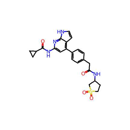 O=C(Cc1ccc(-c2cc(NC(=O)C3CC3)nc3[nH]ccc23)cc1)NC1CCS(=O)(=O)C1